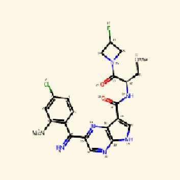 CNc1cc(Cl)ccc1C(=N)c1cnc2[nH]cc(C(=O)N[C@H](COC)C(=O)N3CC(F)C3)c2n1